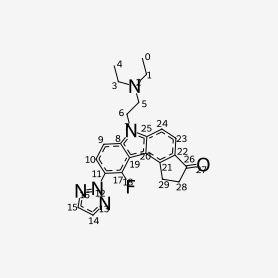 CCN(CC)CCn1c2ccc(-n3nccn3)c(F)c2c2c3c(ccc21)C(=O)CC3